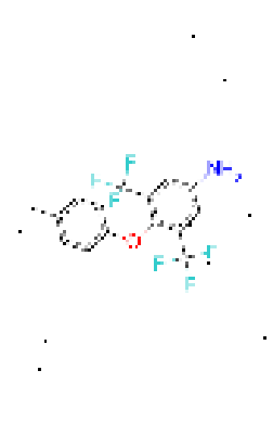 Cc1ccc(Oc2c(C(F)(F)F)cc(N)cc2C(F)(F)F)cc1